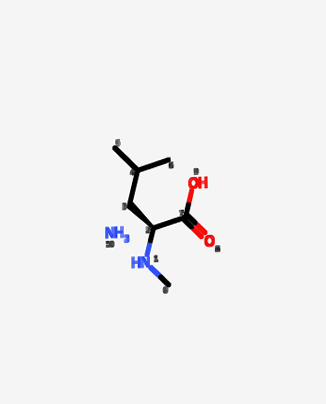 CN[C@@H](CC(C)C)C(=O)O.N